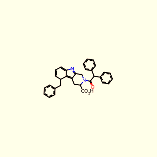 O=C(O)C1CC2=C3C(=CC=CC3Cc3ccccc3)N=C2CN1C(=O)C(c1ccccc1)c1ccccc1